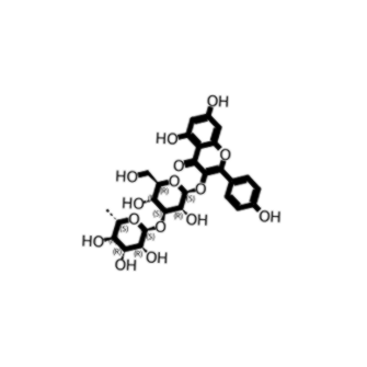 C[C@@H]1O[C@@H](O[C@@H]2[C@@H](O)[C@H](Oc3c(-c4ccc(O)cc4)oc4cc(O)cc(O)c4c3=O)O[C@H](CO)[C@H]2O)[C@H](O)[C@H](O)[C@H]1O